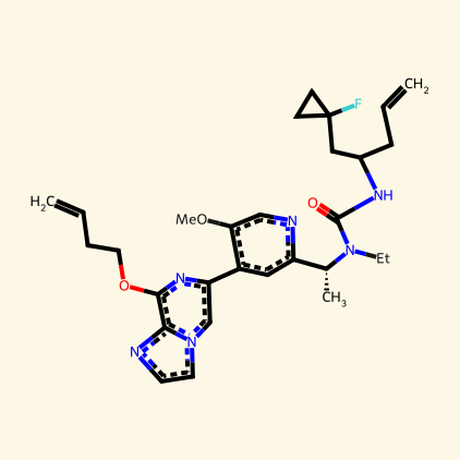 C=CCCOc1nc(-c2cc([C@@H](C)N(CC)C(=O)NC(CC=C)CC3(F)CC3)ncc2OC)cn2ccnc12